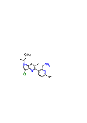 COC[C@H](C)n1cc(Cl)c2nc(-c3ccc(C(C)C)nc3CN)c(C)cc21